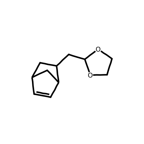 C1=CC2CC1CC2CC1OCCO1